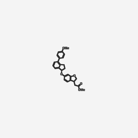 COC(=O)CC1COc2cc(O[C@@H]3CCc4c(-c5ccc(OC)cc5)cccc43)ccc21